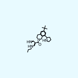 CCCN/C=C(\C=N)C(=O)N1CCc2cc(C(C)(C)C)cc(C3CCCN3)c2C1